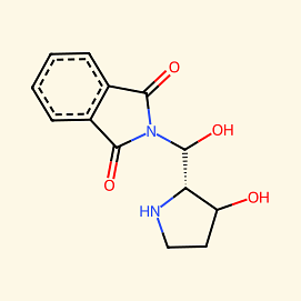 O=C1c2ccccc2C(=O)N1C(O)[C@H]1NCCC1O